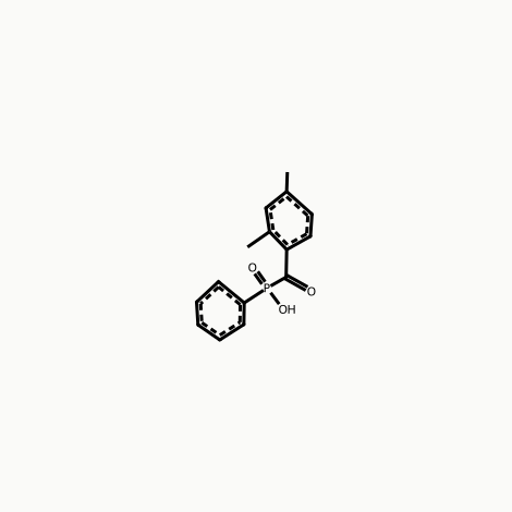 Cc1ccc(C(=O)P(=O)(O)c2ccccc2)c(C)c1